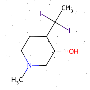 CN1CCC(C(C)(I)I)[C@H](O)C1